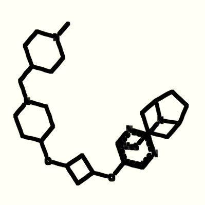 CSC1CC2CCC(C1)N2c1ncc(OC2CC(OC3CCN(CC4CCN(C)CC4)CC3)C2)cn1